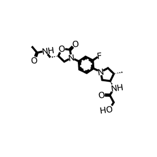 CC(=O)NC[C@H]1CN(c2ccc(N3C[C@H](C)[C@H](NC(=O)CO)C3)c(F)c2)C(=O)O1